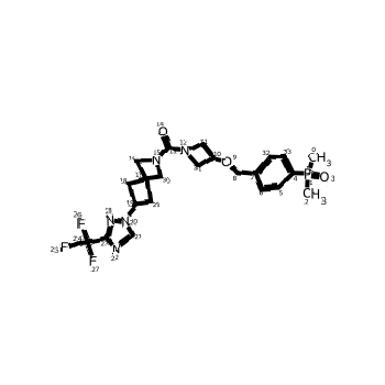 CP(C)(=O)c1ccc(COC2CN(C(=O)N3CC4(CC(n5cnc(C(F)(F)F)n5)C4)C3)C2)cc1